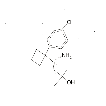 CC(C)(O)C[C@@H](N)C1(c2ccc(Cl)cc2)CCC1